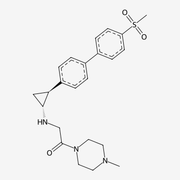 CN1CCN(C(=O)CN[C@@H]2C[C@H]2c2ccc(-c3ccc(S(C)(=O)=O)cc3)cc2)CC1